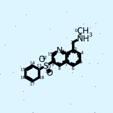 CNCc1cccc2cc(S(=O)(=O)C3C=CC=CC3)cnc12